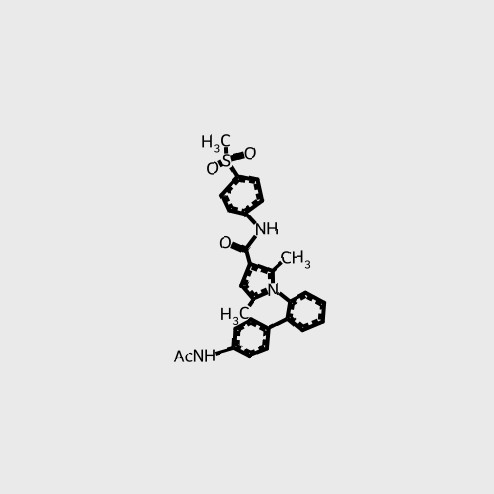 CC(=O)Nc1ccc(-c2ccccc2-n2c(C)cc(C(=O)Nc3ccc(S(C)(=O)=O)cc3)c2C)cc1